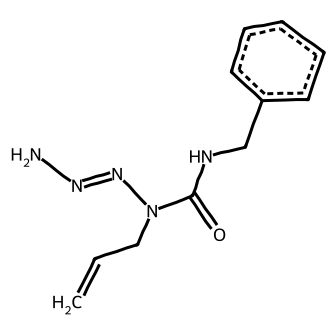 C=CCN(N=NN)C(=O)NCc1ccccc1